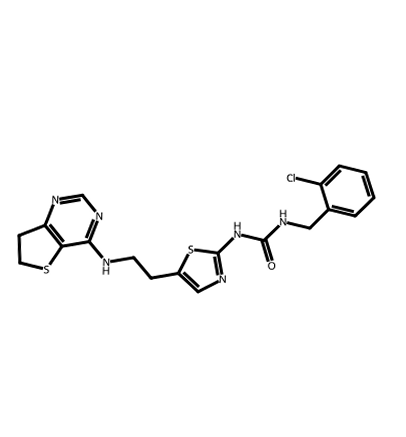 O=C(NCc1ccccc1Cl)Nc1ncc(CCNc2ncnc3c2SCC3)s1